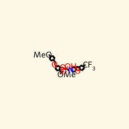 COC(=O)c1ccc(OCc2ccc(OC)cc2)cc1OC[C@@H](O)CN1CCC2(CC1)Cc1cc(C(F)(F)F)ccc1O2